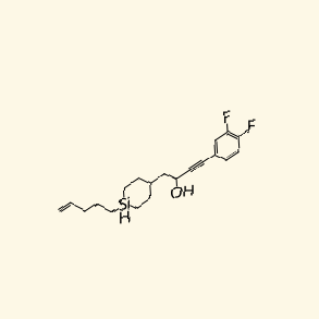 C=CCCC[SiH]1CCC(CC(O)C#Cc2ccc(F)c(F)c2)CC1